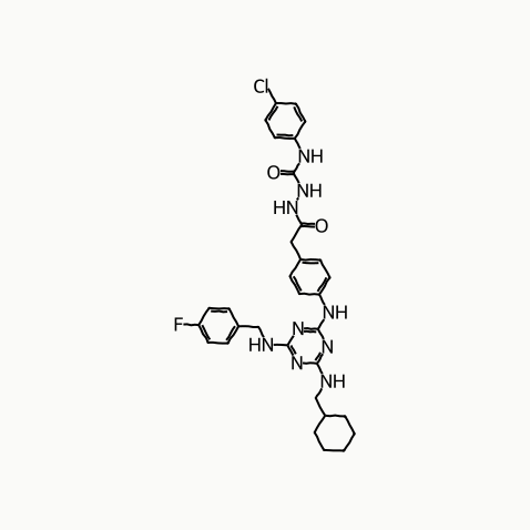 O=C(Cc1ccc(Nc2nc(NCc3ccc(F)cc3)nc(NCC3CCCCC3)n2)cc1)NNC(=O)Nc1ccc(Cl)cc1